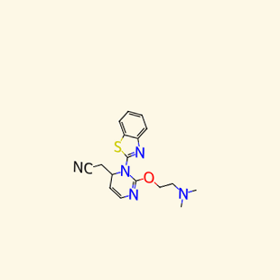 CN(C)CCOC1=NC=CC(CC#N)N1c1nc2ccccc2s1